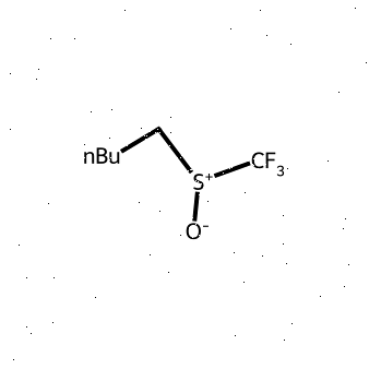 CCCCC[S+]([O-])C(F)(F)F